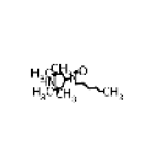 CCCCCCN(C=O)C1CC(C)(C)NC(C)(C)C1